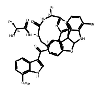 COc1cccc2c(C(=O)CNC(=O)c3nc4oc3C35c6cc(ccc6OC3Nc3c(Br)cccc35)C[C@H](NC(=O)[C@@H](O)C(C)C)C(=O)N[C@H]4C(C)C)c[nH]c12